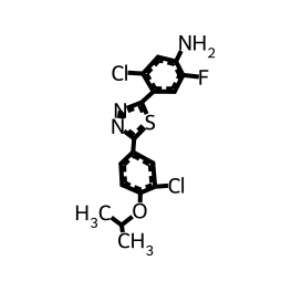 CC(C)Oc1ccc(-c2nnc(-c3cc(F)c(N)cc3Cl)s2)cc1Cl